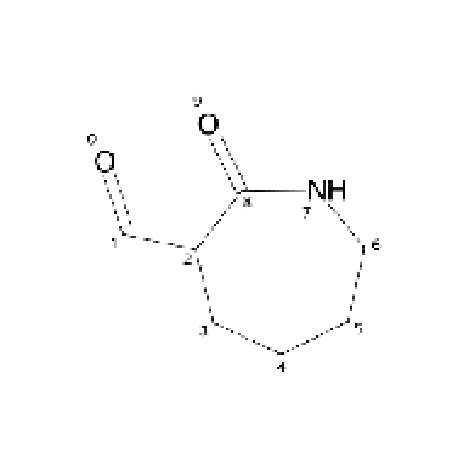 O=CC1CCCCNC1=O